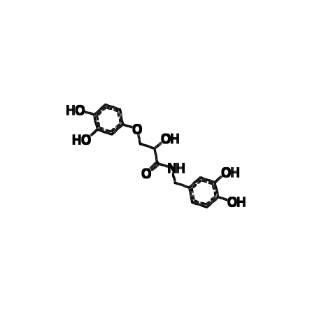 O=C(NCc1ccc(O)c(O)c1)C(O)COc1ccc(O)c(O)c1